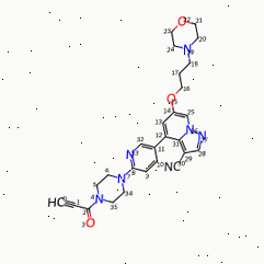 C#CC(=O)N1CCN(c2ccc(-c3cc(OCCCN4CCOCC4)cn4ncc(C#N)c34)cn2)CC1